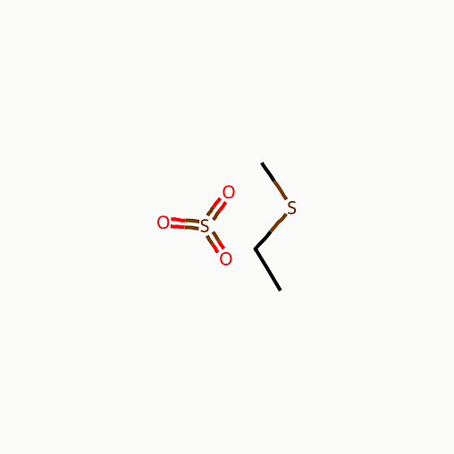 CCSC.O=S(=O)=O